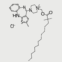 CCCCCCCCCCCCC(C)(C)C(=O)OC[N+]1(C)CCN(C2=Nc3ccccc3Nc3sc(C)cc32)CC1.[Cl-]